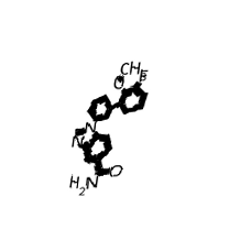 COc1c(F)cccc1-c1cccc(-n2cnc3cc(C(N)=O)ccc32)c1